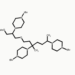 COCC(COCCC(C)(CCC(C)N1CCN(C(C)(C)C)CC1)N1CCN(C(C)(C)C)CC1)N1CCN(C(C)(C)C)CC1